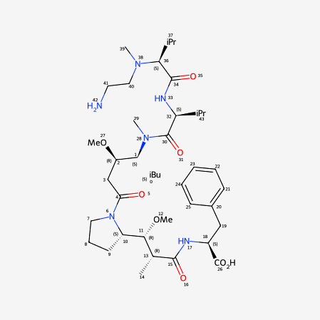 CC[C@H](C)[C@@H]([C@@H](CC(=O)N1CCC[C@H]1[C@H](OC)[C@@H](C)C(=O)N[C@@H](Cc1ccccc1)C(=O)O)OC)N(C)C(=O)[C@@H](NC(=O)[C@H](C(C)C)N(C)CCN)C(C)C